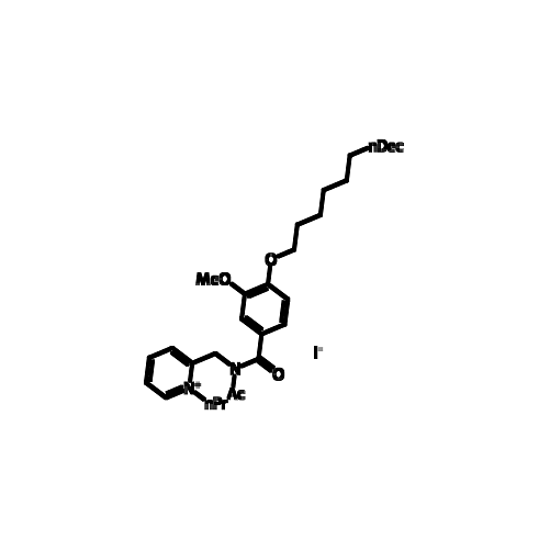 CCCCCCCCCCCCCCCCOc1ccc(C(=O)N(Cc2cccc[n+]2CCC)C(C)=O)cc1OC.[I-]